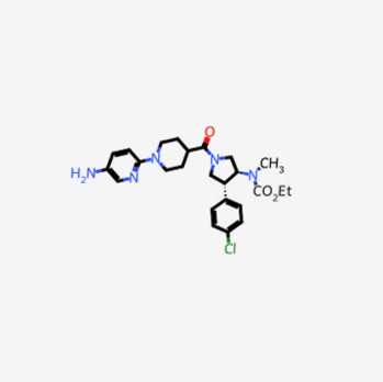 CCOC(=O)N(C)[C@@H]1CN(C(=O)C2CCN(c3ccc(N)cn3)CC2)C[C@H]1c1ccc(Cl)cc1